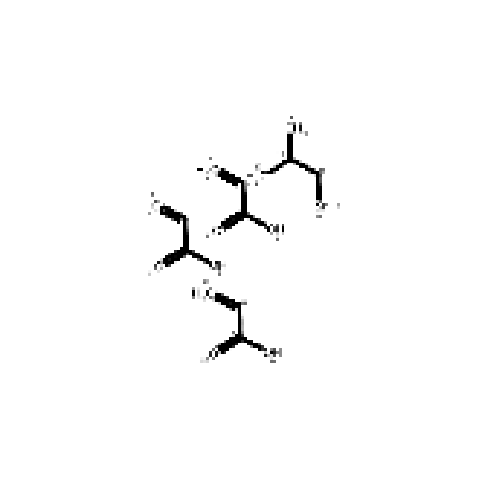 C=CC(=O)O.C=CC(=O)O.C=CC(=O)O.CC(C)[CH2][SnH]